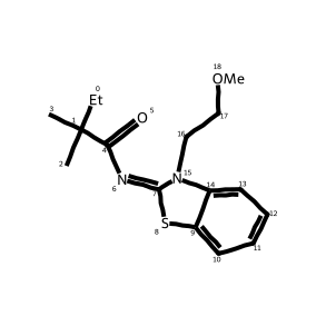 CCC(C)(C)C(=O)N=c1sc2ccccc2n1CCOC